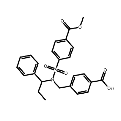 CCC(c1ccccc1)N(Cc1ccc(C(=O)O)cc1)S(=O)(=O)c1ccc(C(=O)OC)cc1